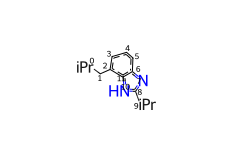 CC(C)Cc1cccc2nc(C(C)C)[nH]c12